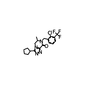 CC1Cn2c(nnc2C2CCCC2)C(=O)N1Cc1cccc(C(F)(F)F)c1Cl